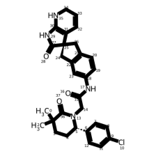 CC1(C)CC[C@@H](c2ccc(Cl)cc2)N(CC(=O)Nc2ccc3c(c2)C[C@@]2(C3)C(=O)NC3=C2C=CCN3)C1=O